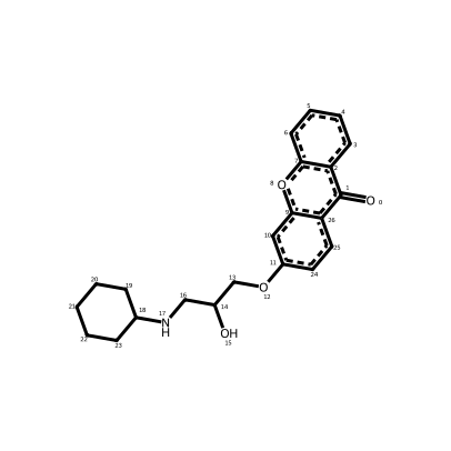 O=c1c2ccccc2oc2cc(OCC(O)CNC3CCCCC3)ccc12